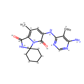 COc1c(N)ncnc1Nc1cc(C)c2n(c1=O)C1(CCCCC1)NC2=O